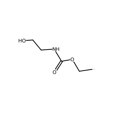 [CH2]COC(=O)NCCO